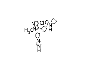 Cn1c(-c2ccc(N3CCNCC3)cc2)c(-c2cccc(C(=O)Nc3ccccc3)c2)c2c(Cl)ccnc21